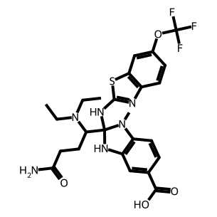 CCN(CC)C(CCC(N)=O)C1(Nc2nc3ccc(OC(F)(F)F)cc3s2)Nc2cc(C(=O)O)ccc2N1C